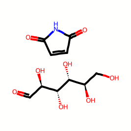 O=C1C=CC(=O)N1.O=C[C@@H](O)[C@@H](O)[C@H](O)[C@H](O)CO